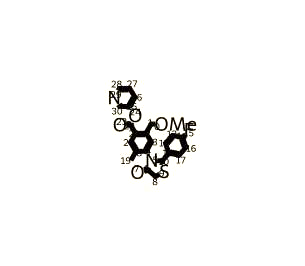 COCc1cc(N2C(=O)CSC2c2ccc(F)cc2)c(C)cc1C(=O)Oc1cccnc1